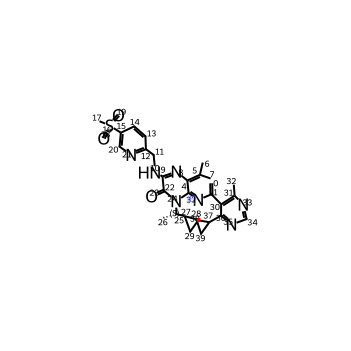 C=C(/N=C1\C(=C(C)C)N=C(NCc2ccc(S(C)(=O)=O)cn2)C(=O)N1[C@@H](C)C1CC1)c1c(C)ncnc1C1CC1